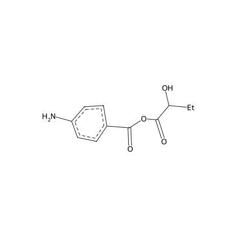 CCC(O)C(=O)OC(=O)c1ccc(N)cc1